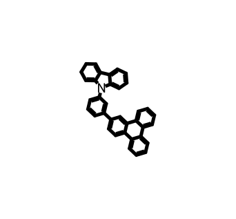 C1=c2c(n(-c3cccc(-c4ccc5c6ccccc6c6ccccc6c5c4)c3)c3ccccc23)=CCC1